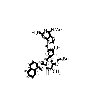 CNc1nc(N)nc2c1ncn2C[C@@H]1O[C@](F)(COP(=O)(N[C@@H](C)C(=O)OCC(C)(C)C)Oc2cccc3ccccc23)C[C@@H]1C